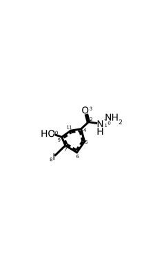 NNC(=O)c1ccc(I)c(O)c1